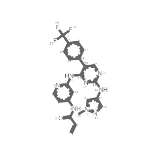 C=CC(=O)Nc1ccnc(Nc2nc(Nc3cnn(C)c3)ncc2-c2ccc(C(F)(F)F)cc2)c1